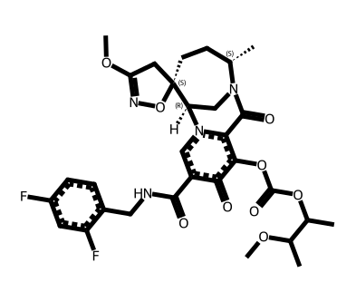 COC1=NO[C@@]2(CC[C@H](C)N3C[C@H]2n2cc(C(=O)NCc4ccc(F)cc4F)c(=O)c(OC(=O)OC(C)C(C)OC)c2C3=O)C1